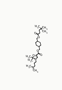 CN(C)CCCN(CCC(=O)OCC1CCC(COC(=O)CCC(C)(C)C)CC1)C(C)(C)C